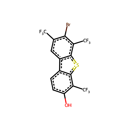 Oc1ccc2c(sc3c(C(F)(F)F)c(Br)c(C(F)(F)F)cc32)c1C(F)(F)F